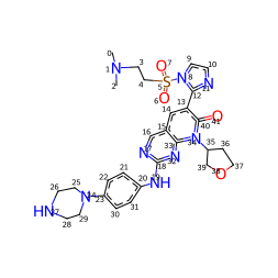 CN(C)CCS(=O)(=O)n1ccnc1-c1cc2cnc(Nc3ccc(N4CCNCC4)cc3)nc2n(C2CCOC2)c1=O